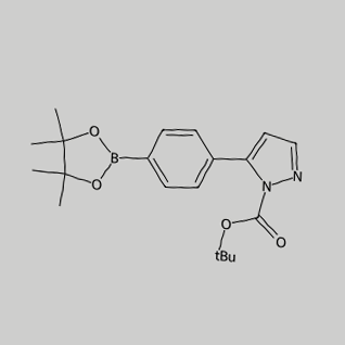 CC(C)(C)OC(=O)n1nccc1-c1ccc(B2OC(C)(C)C(C)(C)O2)cc1